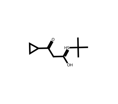 CC(C)(C)[SH]=C(O)CC(=O)C1CC1